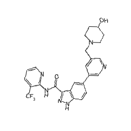 O=C(Nc1ncccc1C(F)(F)F)c1n[nH]c2ccc(-c3cncc(CN4CCC(O)CC4)c3)cc12